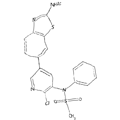 CC(=O)Nc1nc2ccc(-c3cnc(Cl)c(N(c4ccccc4)S(C)(=O)=O)c3)cc2s1